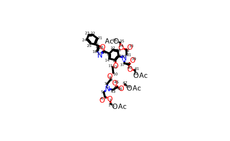 CC(=O)OCOC(=O)CN(CCOCCOc1cc(-c2ncc(-c3ccccc3)o2)ccc1N(CC(=O)OCOC(C)=O)CC(=O)OCOC(C)=O)CC(=O)OCOC(C)=O